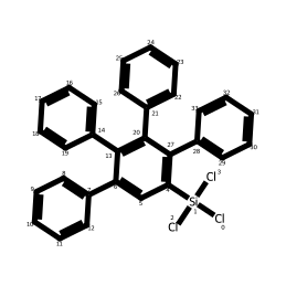 Cl[Si](Cl)(Cl)c1cc(-c2ccccc2)c(-c2ccccc2)c(-c2ccccc2)c1-c1ccccc1